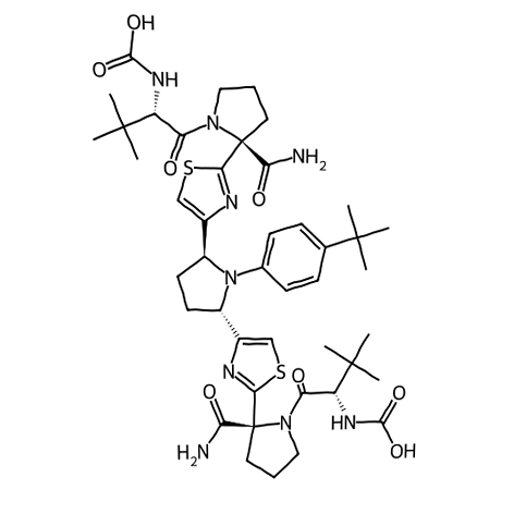 CC(C)(C)c1ccc(N2[C@H](c3csc([C@@]4(C(N)=O)CCCN4C(=O)[C@@H](NC(=O)O)C(C)(C)C)n3)CC[C@H]2c2csc([C@@]3(C(N)=O)CCCN3C(=O)[C@@H](NC(=O)O)C(C)(C)C)n2)cc1